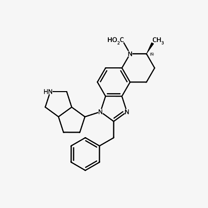 C[C@H]1CCc2c(ccc3c2nc(Cc2ccccc2)n3C2CCC3CNCC32)N1C(=O)O